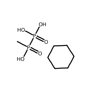 C1CCCCC1.CP(=O)(O)P(=O)(O)O